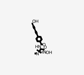 C=NC(C)(C)[C@H](NC(=O)c1ccc(C#CC#CCO)cc1)C(=O)NO